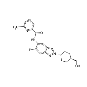 O=C(Nc1cc2cn([C@H]3CC[C@H](CO)CC3)nc2cc1F)c1cncc(C(F)(F)F)n1